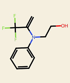 C=C(N(CCO)c1ccccc1)C(F)(F)F